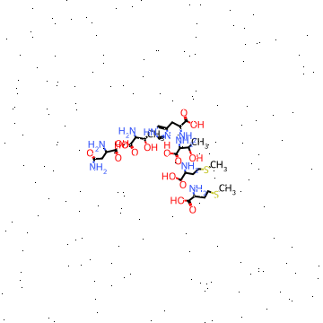 CC(O)C(N)C(=O)O.CC(O)C(N)C(=O)O.CSCCC(N)C(=O)O.CSCCC(N)C(=O)O.NC(=O)CC(N)C(=O)O.NC(Cc1c[nH]cn1)C(=O)O